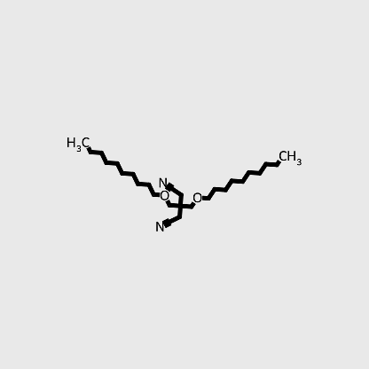 CCCCCCCCCCOCC(CC#N)(CC#N)COCCCCCCCCCC